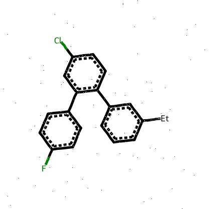 CCc1cccc(-c2ccc(Cl)cc2-c2ccc(F)cc2)c1